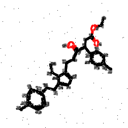 CCOC(=O)CC(C(=O)CCC1=CC=C(CCc2ccc(C)cc2)C1CC)c1ccc(C)cc1